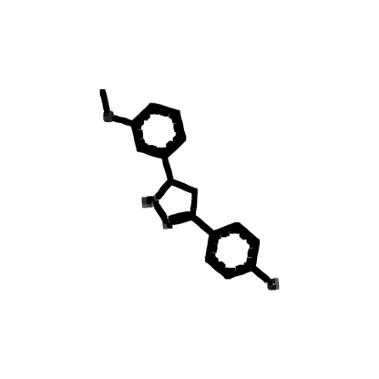 COc1cccc(C2CC(c3ccc(Cl)cc3)=NN2)c1